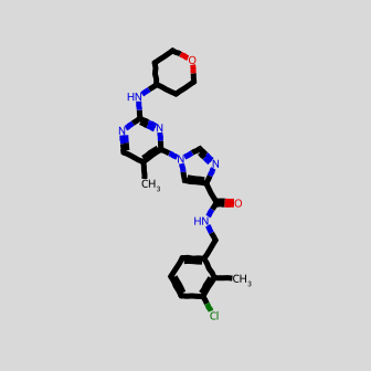 Cc1cnc(NC2CCOCC2)nc1-n1cnc(C(=O)NCc2cccc(Cl)c2C)c1